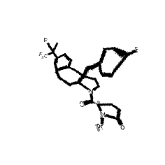 CC(C)N1C(=O)CC[C@H]1C(=O)N1CCC2(Cc3ccc(F)cc3)c3ccc(C(C)(F)C(F)(F)F)cc3CCC12